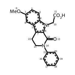 COc1ccc2c(c1)c1c(n2CC(=O)O)C(=O)N(c2ccccc2)CC1